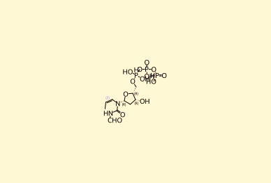 C/C=C\N(C(=O)NC=O)[C@H]1C[C@@H](O)[C@@H](CO[PH](O)(O)OP(=O)(O)O[PH](=O)O)O1